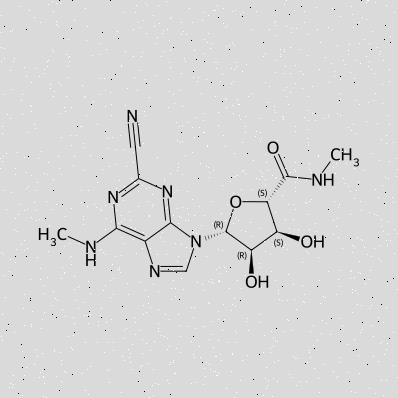 CNC(=O)[C@H]1O[C@@H](n2cnc3c(NC)nc(C#N)nc32)[C@H](O)[C@@H]1O